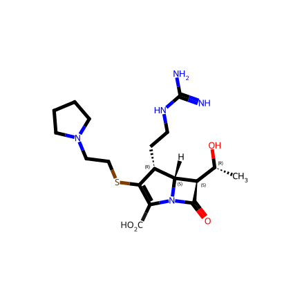 C[C@@H](O)[C@H]1C(=O)N2C(C(=O)O)=C(SCCN3CCCC3)[C@H](CCNC(=N)N)[C@H]12